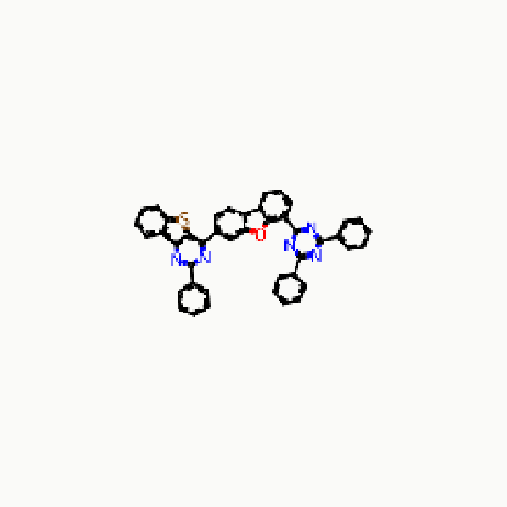 c1ccc(-c2nc(-c3ccccc3)nc(-c3cccc4c3oc3cc(-c5nc(-c6ccccc6)nc6c5sc5ccccc56)ccc34)n2)cc1